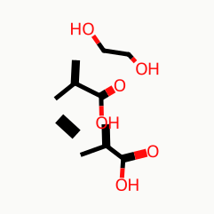 C#C.C=C(C)C(=O)O.C=C(C)C(=O)O.OCCO